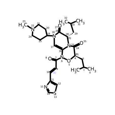 CC(C)C[C@H]1ON(C(=O)/C=C/c2cscn2)C2=CN(C3CCN(C)CC3)C(=O)[C@H](CC(C)C)N2C1=O